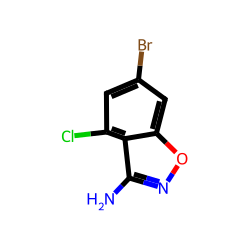 Nc1noc2cc(Br)cc(Cl)c12